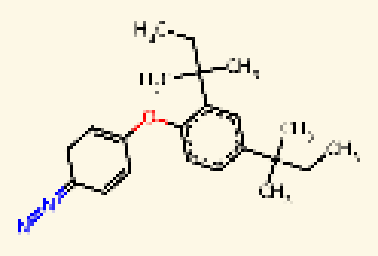 CCC(C)(C)c1ccc(OC2=CCC(=[N+]=[N-])C=C2)c(C(C)(C)CC)c1